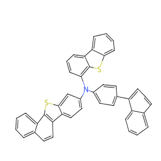 c1ccc2c(-c3ccc(N(c4ccc5c(c4)sc4c6ccccc6ccc54)c4cccc5c4sc4ccccc45)cc3)cccc2c1